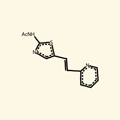 CC(=O)Nc1ncc(C=Cc2ccccn2)s1